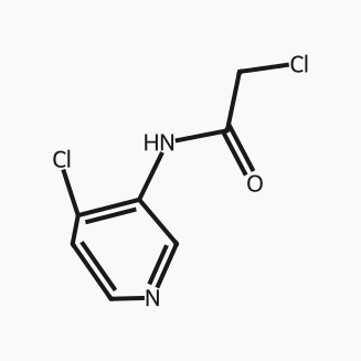 O=C(CCl)Nc1cnccc1Cl